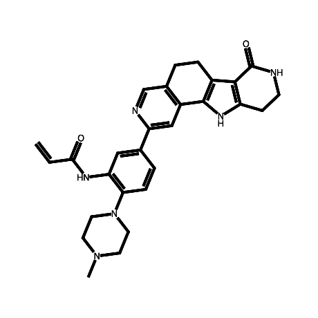 C=CC(=O)Nc1cc(-c2cc3c(cn2)CCc2c-3[nH]c3c2C(=O)NCC3)ccc1N1CCN(C)CC1